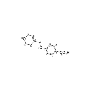 O=C(O)c1ccc(OCC2=CCOCC2)cc1